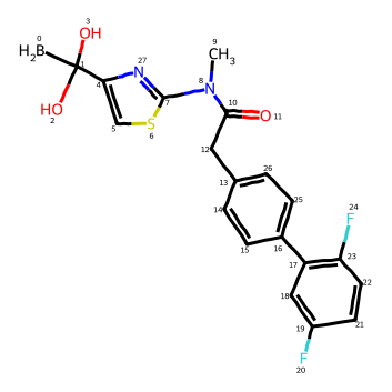 BC(O)(O)c1csc(N(C)C(=O)Cc2ccc(-c3cc(F)ccc3F)cc2)n1